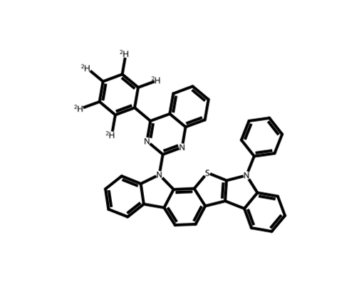 [2H]c1c([2H])c([2H])c(-c2nc(-n3c4ccccc4c4ccc5c(sc6c5c5ccccc5n6-c5ccccc5)c43)nc3ccccc23)c([2H])c1[2H]